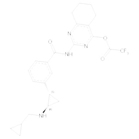 O=C(Nc1nc2c(c(OC(=O)C(F)(F)F)n1)CCCC2)c1cccc([C@@H]2C[C@H]2NCC2CC2)c1